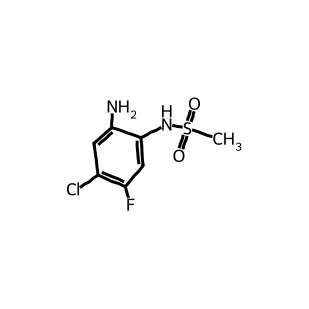 CS(=O)(=O)Nc1cc(F)c(Cl)cc1N